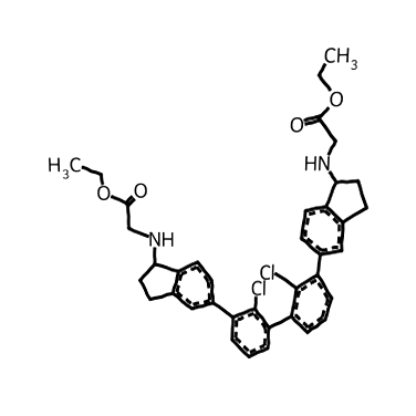 CCOC(=O)CNC1CCc2cc(-c3cccc(-c4cccc(-c5ccc6c(c5)CCC6NCC(=O)OCC)c4Cl)c3Cl)ccc21